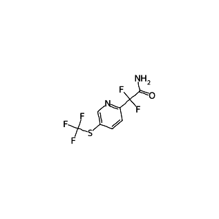 NC(=O)C(F)(F)c1ccc(SC(F)(F)F)cn1